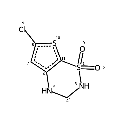 O=S1(=O)N[C]Nc2cc(Cl)sc21